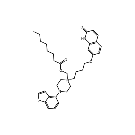 CCCCCCCC(=O)OC[N+]1(CCCCOc2ccc3ccc(=O)[nH]c3c2)CCN(c2cccc3sccc23)CC1